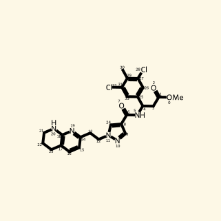 COC(=O)CC(NC(=O)c1cnn(CCc2ccc3c(n2)NCCC3)c1)c1cc(Cl)c(C)c(Cl)c1